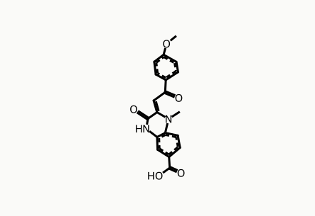 COc1ccc(C(=O)C=C2C(=O)Nc3cc(C(=O)O)ccc3N2C)cc1